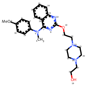 COc1ccc(N(C)c2nc(OCCN3CCN(CCO)CC3)nc3ccccc23)cc1